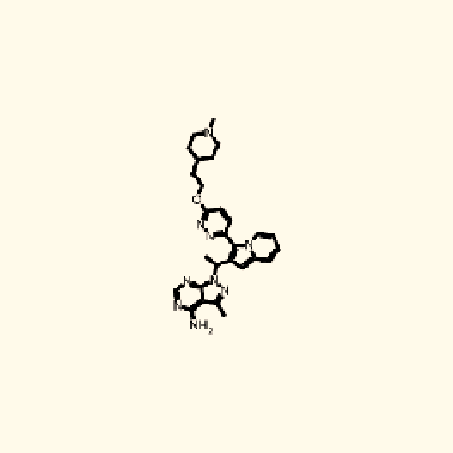 Cc1nn(C(C)c2cc3ccccn3c2-c2ccc(OCCC3CCN(C)CC3)nn2)c2ncnc(N)c12